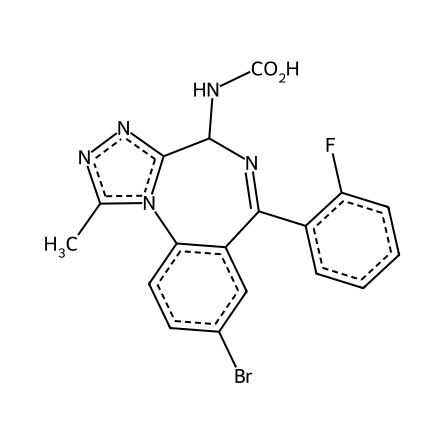 Cc1nnc2n1-c1ccc(Br)cc1C(c1ccccc1F)=NC2NC(=O)O